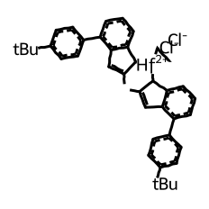 CC1=Cc2c(-c3ccc(C(C)(C)C)cc3)cccc2[CH]1[Hf+2]1([CH]2C(C)=Cc3c(-c4ccc(C(C)(C)C)cc4)cccc32)[CH2][CH2]1.[Cl-].[Cl-]